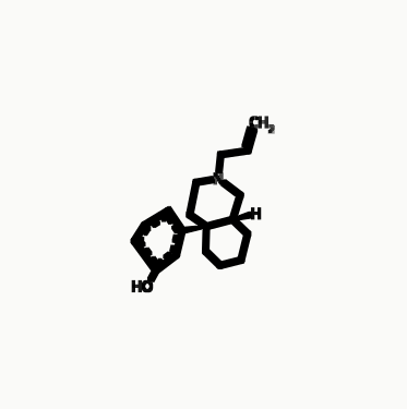 C=CCN1CC[C@@]2(c3cccc(O)c3)CCCC[C@H]2C1